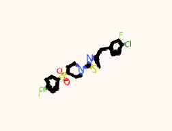 O=S(=O)(c1ccc(F)cc1)C1CCN(c2nc(Cc3ccc(Cl)c(F)c3)cs2)CC1